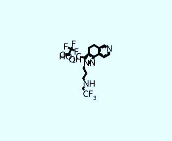 O=C(O)C(F)(F)F.O=C(O)c1c2c(nn1CCCNCC(F)(F)F)-c1ccncc1CC2